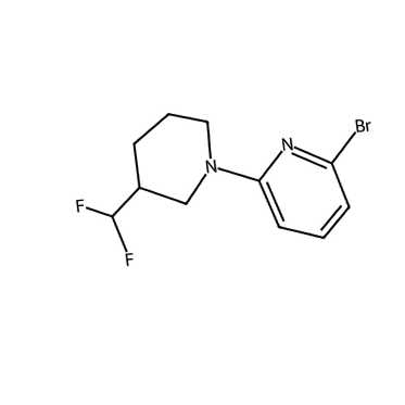 FC(F)C1CCCN(c2cccc(Br)n2)C1